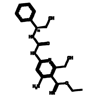 CCOC(=N)c1c(N)cc(NC(=O)N[C@H](CO)c2ccccc2)nc1CO